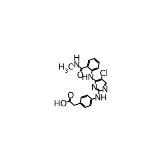 CNC(=O)c1ccccc1Nc1nc(Nc2ccc(CC(=O)O)cc2)ncc1Cl